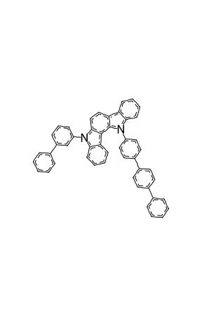 c1ccc(-c2ccc(-c3ccc(-n4c5ccccc5c5ccc6c(c7ccccc7n6-c6cccc(-c7ccccc7)c6)c54)cc3)cc2)cc1